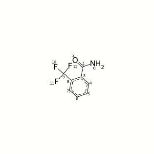 NC(=O)c1ccc[c]c1C(F)(F)F